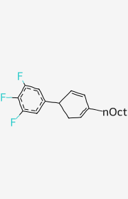 CCCCCCCCC1=CCC(c2cc(F)c(F)c(F)c2)C=C1